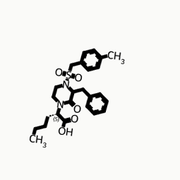 CCCC[C@@H](C(=O)O)N1CCN(S(=O)(=O)Cc2ccc(C)cc2)C(Cc2ccccc2)C1=O